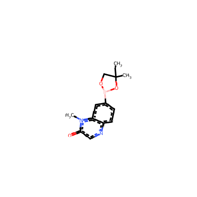 Cn1c(=O)cnc2ccc(B3OCC(C)(C)O3)cc21